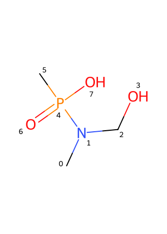 CN(CO)P(C)(=O)O